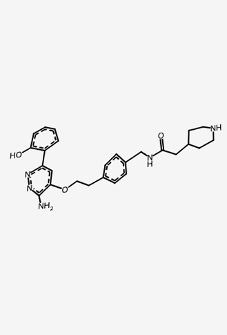 Nc1nnc(-c2ccccc2O)cc1OCCc1ccc(CNC(=O)CC2CCNCC2)cc1